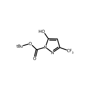 CC(C)(C)OC(=O)n1nc(C(F)(F)F)cc1O